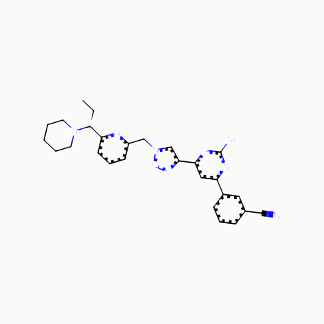 CC[C@@H](c1cccc(Cn2cc(-c3cc(-c4cccc(C#N)c4)nc(N)n3)nn2)n1)N1CCCCC1